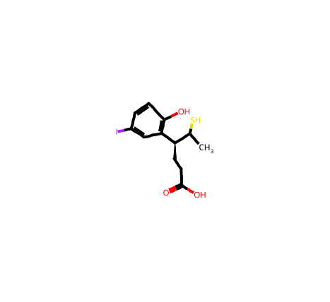 CC(S)[C@@H](CCC(=O)O)c1cc(I)ccc1O